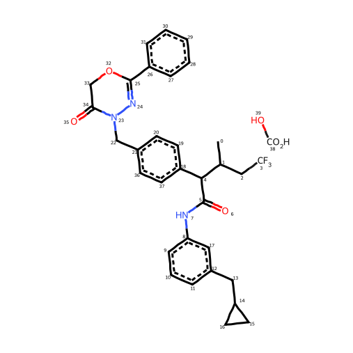 CC(CC(F)(F)F)C(C(=O)Nc1cccc(CC2CC2)c1)c1ccc(CN2N=C(c3ccccc3)OCC2=O)cc1.O=C(O)O